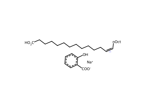 CCCCCCCC/C=C\CCCCCCCCCCCC(=O)O.O=C([O-])c1ccccc1O.[Na+]